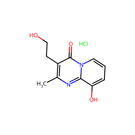 Cc1nc2c(O)cccn2c(=O)c1CCO.Cl